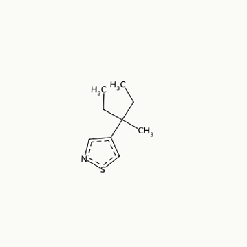 CCC(C)(CC)c1cnsc1